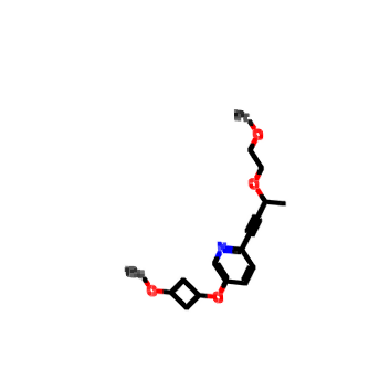 CC(C)OCCOC(C)C#Cc1ccc(OC2CC(OC(C)(C)C)C2)cn1